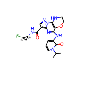 CC(C)n1cccc(Nc2nc3c(C(=O)N[C@@H]4C[C@@H]4F)cnn3c3c2OCCN3)c1=O